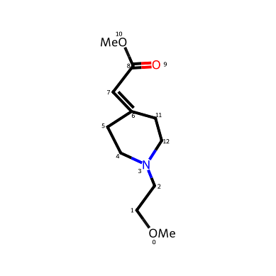 COCCN1CCC(=CC(=O)OC)CC1